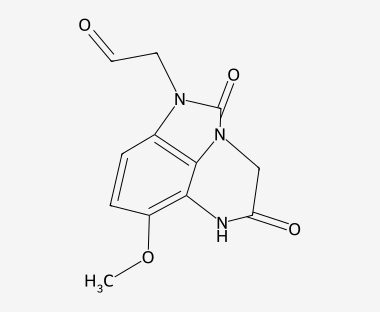 COc1ccc2c3c1NC(=O)Cn3c(=O)n2CC=O